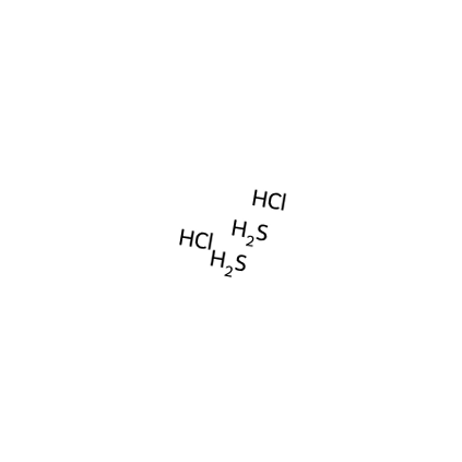 Cl.Cl.S.S